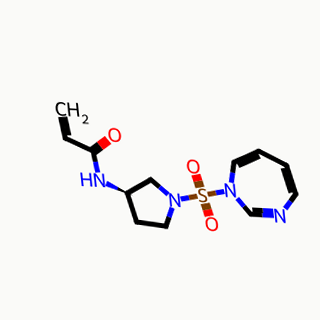 C=CC(=O)N[C@@H]1CCN(S(=O)(=O)N2C=CC=CN=C2)C1